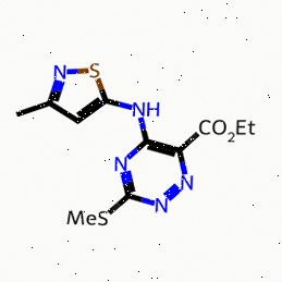 CCOC(=O)c1nnc(SC)nc1Nc1cc(C)ns1